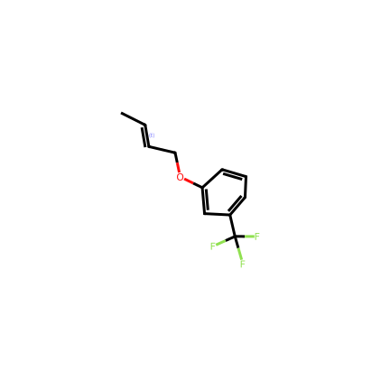 C/C=C/COc1cccc(C(F)(F)F)c1